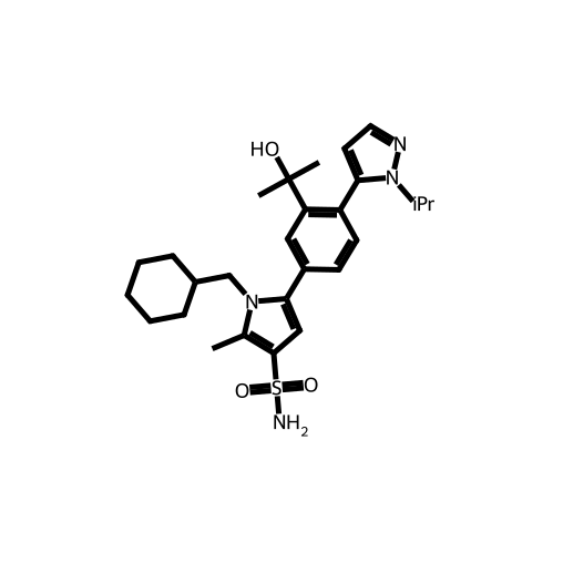 Cc1c(S(N)(=O)=O)cc(-c2ccc(-c3ccnn3C(C)C)c(C(C)(C)O)c2)n1CC1CCCCC1